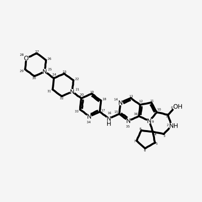 OC1NCC2(CCCC2)n2c1cc1cnc(Nc3ccc(N4CCC(N5CCOCC5)CC4)cn3)nc12